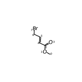 COC(=O)C=CCBr